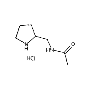 CC(=O)NCC1CCCN1.Cl